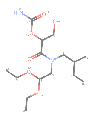 CCOC(CN(CC(C)CC)C(=O)C(CO)OC(N)=O)OCC